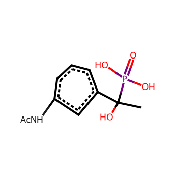 CC(=O)Nc1cccc(C(C)(O)P(=O)(O)O)c1